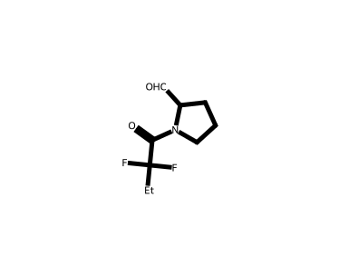 CCC(F)(F)C(=O)N1CCCC1C=O